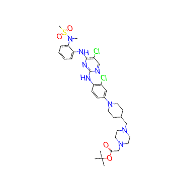 CN(c1ccccc1Nc1nc(Nc2ccc(N3CCC(CN4CCN(CC(=O)OC(C)(C)C)CC4)CC3)cc2Cl)ncc1Cl)S(C)(=O)=O